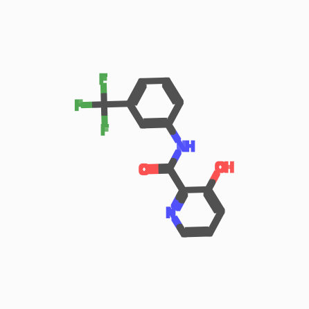 O=C(Nc1cccc(C(F)(F)F)c1)c1ncccc1O